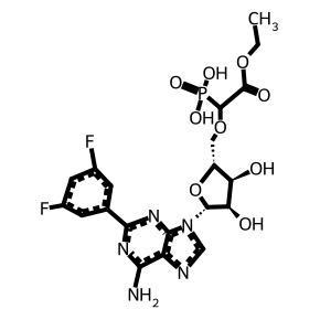 CCOC(=O)C(OC[C@H]1O[C@@H](n2cnc3c(N)nc(-c4cc(F)cc(F)c4)nc32)[C@H](O)[C@@H]1O)P(=O)(O)O